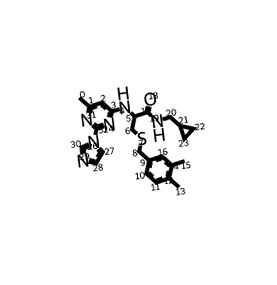 Cc1cc(NC(CSCc2ccc(C)c(C)c2)C(=O)NCC2CC2)nc(-n2ccnc2)n1